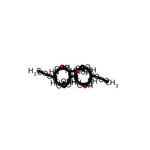 COCCOCCOCCN1CCNC(=O)c2cccc(c2O)C(=O)NCCN(CCN2CCNC(=O)c3cccc(c3O)C(=O)NCCN(CCOCCOCCOC)CCNC(=O)c3cccc(c3O)C(=O)NC(CCCCN)C2)CCNC(=O)c2cccc(c2O)C(=O)NCC1